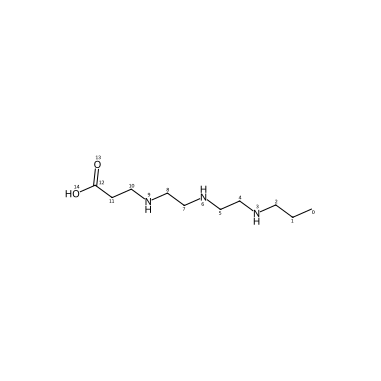 CCCNCCNCCNCCC(=O)O